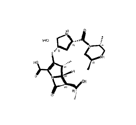 C[C@@H]1CN[C@@H](C)CN1C(=O)[C@@H]1C[C@H](SC2=C(C(=O)O)N3C(=O)[C@H]([C@@H](C)O)[C@H]3[C@H]2C)CN1.Cl